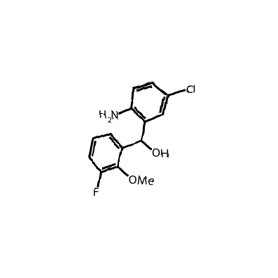 COc1c(F)cccc1C(O)c1cc(Cl)ccc1N